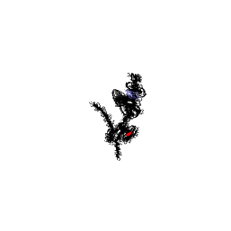 CCCCCCCCCCC(CN(CCCC(=O)Oc1c(OC)cc(/C=C/C(=O)OCCCN(C)C)cc1OC)CC(CCCCCCCCCC)O[Si](C)(C)C(C)(C)C)O[Si](C)(C)C(C)(C)C